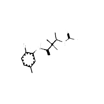 CC(NC(=O)O)C(C)(C)C(=O)Nc1cc(I)ccc1N